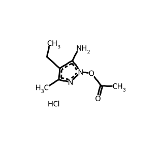 CCc1c(C)nn(OC(C)=O)c1N.Cl